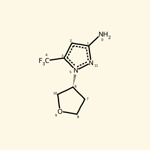 Nc1cc(C(F)(F)F)n([C@@H]2CCOC2)n1